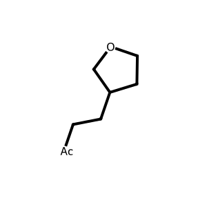 CC(=O)CCC1CCOC1